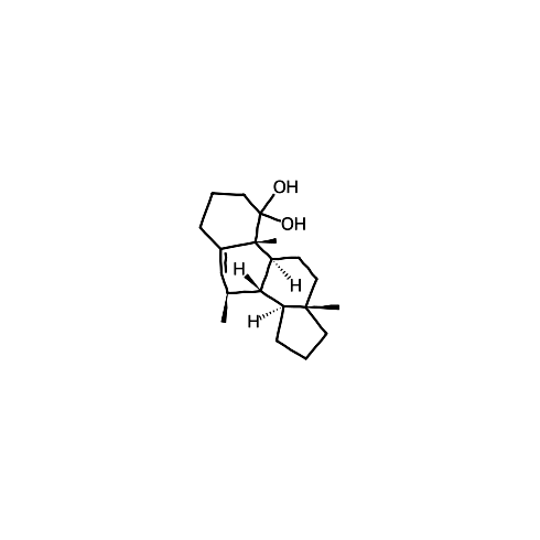 C[C@H]1C=C2CCCC(O)(O)[C@]2(C)[C@H]2CC[C@]3(C)CCC[C@H]3[C@H]12